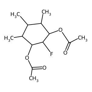 CC(=O)OC1C(C)C(C)C(C)C(OC(C)=O)C1F